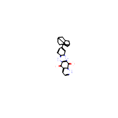 O=C1c2cccnc2C(=O)c2nc3cc(C45CCC6CC(CC4C6)C5)ccc3nc21